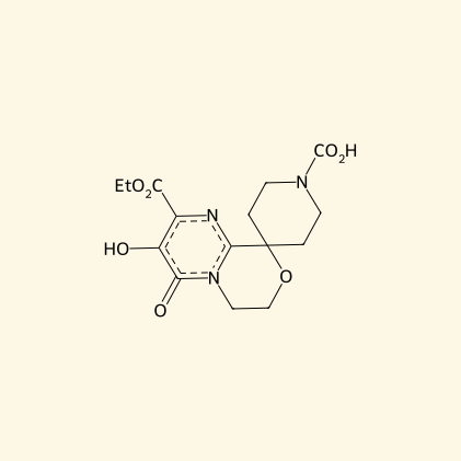 CCOC(=O)c1nc2n(c(=O)c1O)CCOC21CCN(C(=O)O)CC1